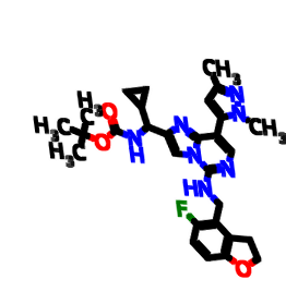 Cc1cc(-c2cnc(NCc3c(F)ccc4c3CCO4)n3cc(C(NC(=O)OC(C)(C)C)C4CC4)nc23)n(C)n1